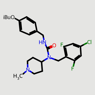 CC(C)COc1ccc(CNC(=O)N(Cc2c(F)cc(Cl)cc2F)C2CCN(C)CC2)cc1